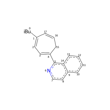 CCC(C)C1=CC=C(c2nccc3ccccc23)CC=C1